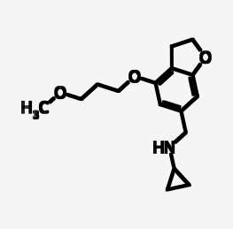 COCCCOc1cc(CNC2CC2)cc2c1CCO2